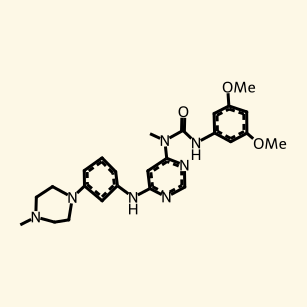 COc1cc(NC(=O)N(C)c2cc(Nc3cccc(N4CCN(C)CC4)c3)ncn2)cc(OC)c1